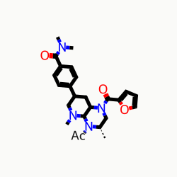 CC(=O)N1C2C(CC(c3ccc(C(=O)N(C)C)cc3)CN2C)N(C(=O)c2ccco2)C[C@@H]1C